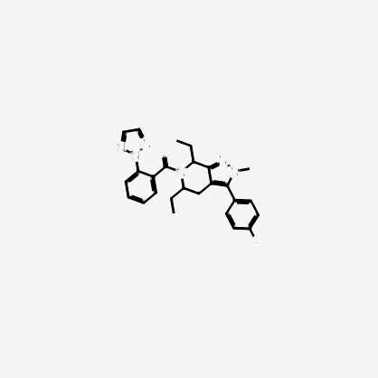 CCC1Cc2c(nn(C)c2-c2ccc(F)cc2)C(CC)N1C(=O)c1ccccc1-n1nccn1